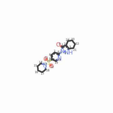 O=c1c2c([nH]n1-c1ccc(S(=O)(=O)N3CCCCC3)cn1)CCCC2